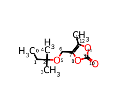 CCC(C)(C)OCc1oc(=O)oc1C